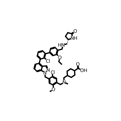 CCOc1cc(-c2cccc(-c3cccc4c3cnn4Cc3cc(OC)c(CN(C)CC4CCC(C(=O)O)CC4)cc3Cl)c2Cl)ccc1CNC[C@@H]1CCC(=O)N1